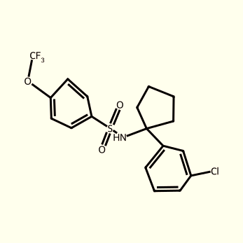 O=S(=O)(NC1(c2cccc(Cl)c2)CCCC1)c1ccc(OC(F)(F)F)cc1